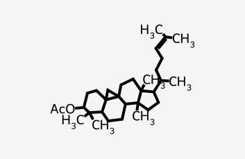 CC(=O)OC1CCC23CC24CCC2(C)C(C(C)CCC=C(C)C)CCC2(C)C4CCC3C1(C)C